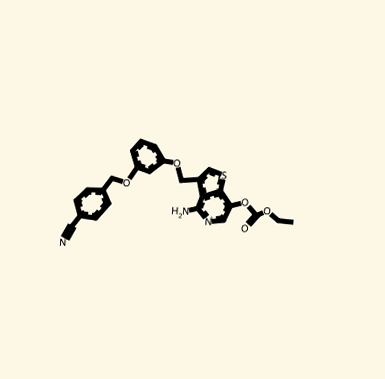 CCOC(=O)Oc1cnc(N)c2c(COc3cccc(OCc4ccc(C#N)cc4)c3)csc12